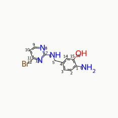 Nc1ccc(CNc2nccc(Br)n2)cc1O